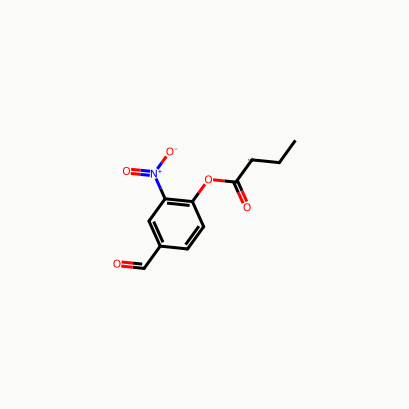 CC[CH]C(=O)Oc1ccc(C=O)cc1[N+](=O)[O-]